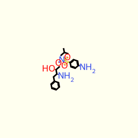 CC(C)CN(OC[C@H](O)[C@@H](N)Cc1ccccc1)S(=O)(=O)c1ccc(N)cc1